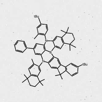 Cc1cc(C(C)(C)C)ccc1N1c2cc3c(cc2B2c4cc5c(cc4N(c4cc6c(cc4C)C(C)(C)CCC6(C)C)c4cc(-c6ccccc6)cc1c42)C(C)(C)c1ccc(C(C)(C)C)cc1-5)C(C)(C)CCC3(C)C